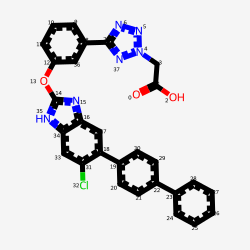 O=C(O)Cn1nnc(-c2cccc(Oc3nc4cc(-c5ccc(-c6ccccc6)cc5)c(Cl)cc4[nH]3)c2)n1